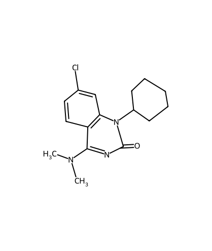 CN(C)c1nc(=O)n(C2CCCCC2)c2cc(Cl)ccc12